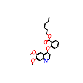 CC/C=C\CCOC(=O)c1ccccc1Oc1ccnc2cc(OC)c(OC)cc12